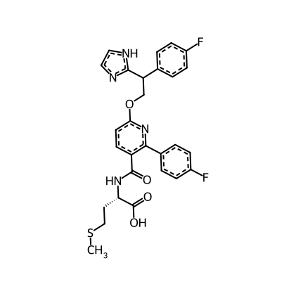 CSCC[C@H](NC(=O)c1ccc(OCC(c2ccc(F)cc2)c2ncc[nH]2)nc1-c1ccc(F)cc1)C(=O)O